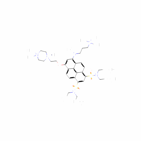 CN(CCC[N+](C)(C)C)c1cc(OCC[N+]2(C)CC[N+](C)(C)CC2)c2ccc3c(S(=O)(=O)N(CC(=O)O)CC(=O)O)cc(S(=O)(=O)N(CC(=O)O)CC(=O)O)c4ccc1c2c34